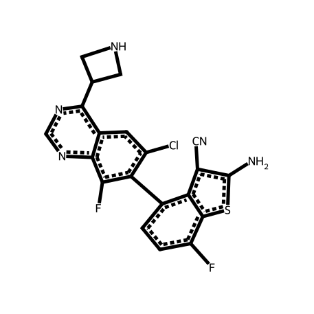 N#Cc1c(N)sc2c(F)ccc(-c3c(Cl)cc4c(C5CNC5)ncnc4c3F)c12